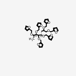 C[C@@H](OCc1ccco1)[C@@H](OCc1ccco1)C(OCc1ccco1)[C@H](CC(COCc1ccco1)OCc1ccco1)OCc1ccco1